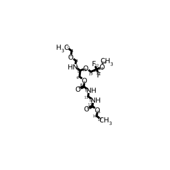 CCOCNC(COC(=O)NCNC(=O)OCC)OCC(F)(F)OC